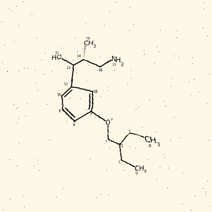 CCC(CC)COc1cccc(C(O)[C@H](C)CN)c1